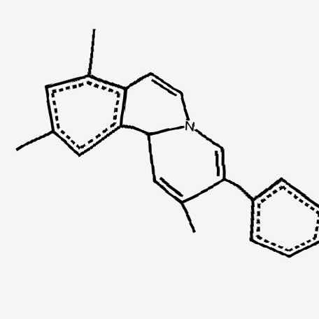 CC1=CC2c3cc(C)cc(C)c3C=CN2C=C1c1ccccc1